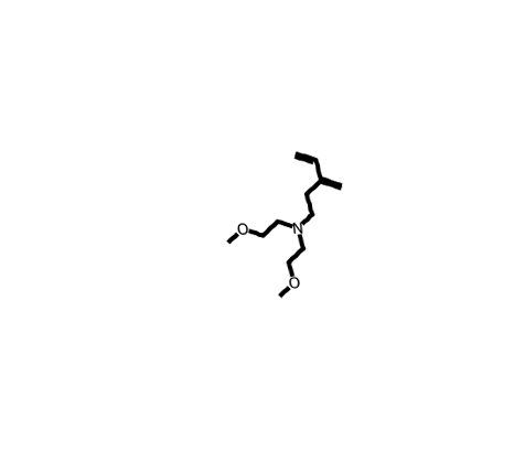 C=CC(=C)CCN(CCOC)CCOC